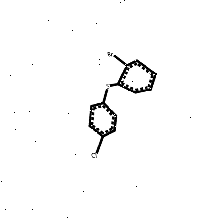 Clc1ccc(Sc2ccccc2Br)cc1